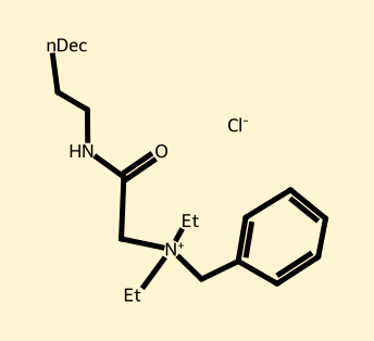 CCCCCCCCCCCCNC(=O)C[N+](CC)(CC)Cc1ccccc1.[Cl-]